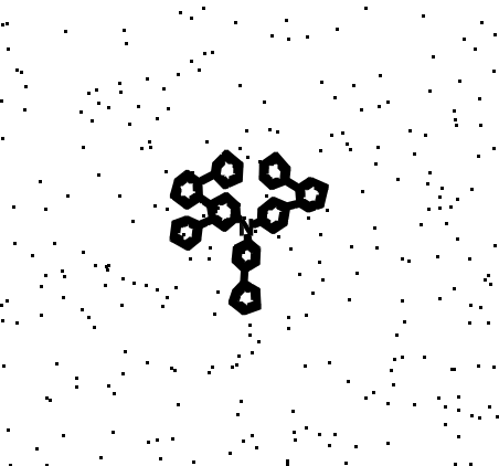 c1ccc(-c2ccc(N(c3ccc(-c4ccccc4-c4ccccc4)cc3)c3ccc(-c4ccccc4-c4ccccc4)c(-c4ccccc4)c3)cc2)cc1